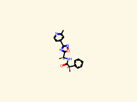 Cc1cc(-c2noc([C@H](C)NC(=O)[C@H](C)c3ccccc3)n2)ccn1